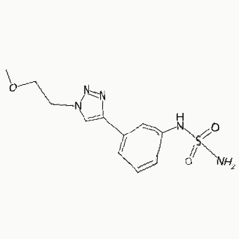 COCCn1cc(-c2cccc(NS(N)(=O)=O)c2)nn1